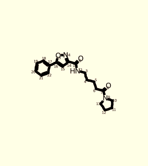 O=C(NCCCCC(=O)N1CCCC1)c1cc(-c2ccccc2)on1